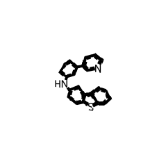 c1cncc(-c2cccc(Nc3ccc4sc5ccccc5c4c3)c2)c1